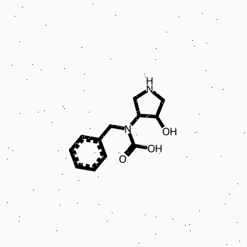 O=C(O)N(Cc1ccccc1)C1CNCC1O